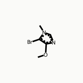 COc1ncn(C)c1Br